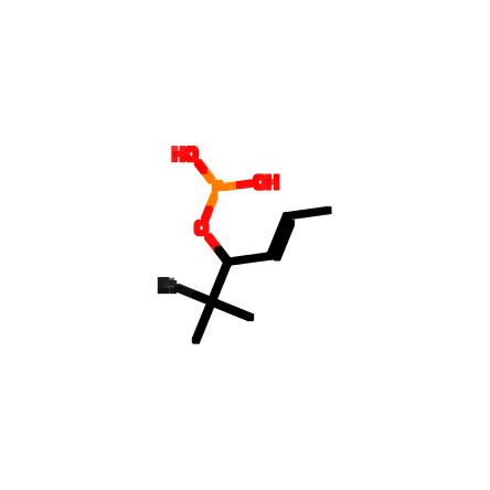 CC=CC(OP(O)O)C(C)(C)CC